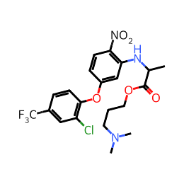 CC(Nc1cc(Oc2ccc(C(F)(F)F)cc2Cl)ccc1[N+](=O)[O-])C(=O)OCCCN(C)C